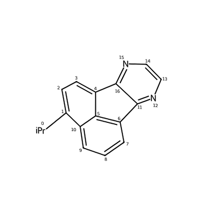 CC(C)c1ccc2c3c(cccc13)-c1nccnc1-2